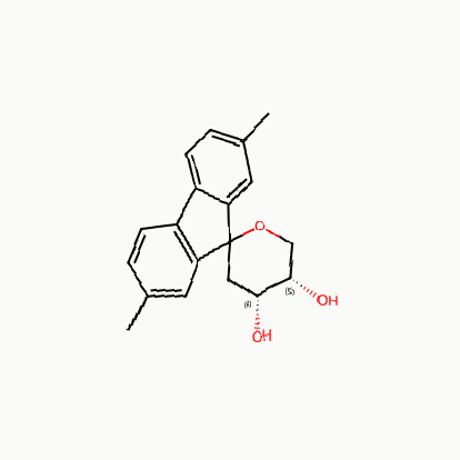 Cc1ccc2c(c1)C1(C[C@@H](O)[C@@H](O)CO1)c1cc(C)ccc1-2